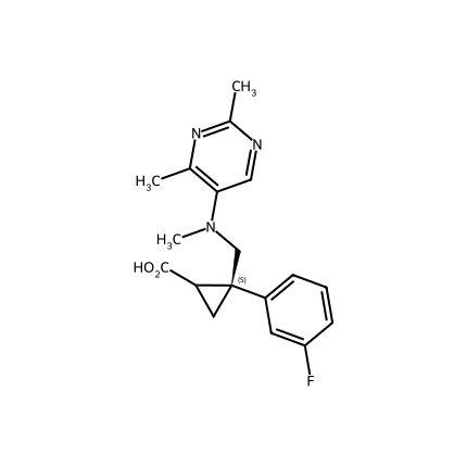 Cc1ncc(N(C)C[C@@]2(c3cccc(F)c3)CC2C(=O)O)c(C)n1